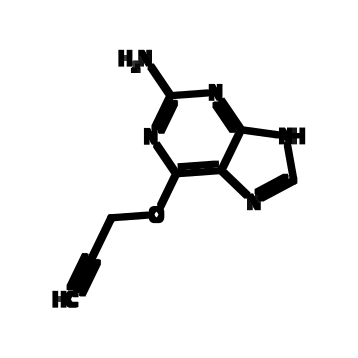 C#CCOc1nc(N)nc2[nH]cnc12